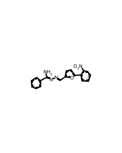 NC(=N/N=C/c1ccc(-c2ccccc2[N+](=O)[O-])o1)c1ccccc1